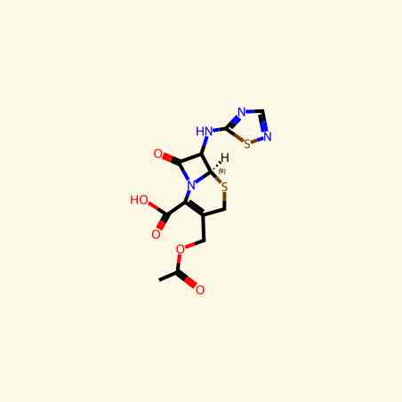 CC(=O)OCC1=C(C(=O)O)N2C(=O)C(Nc3ncns3)[C@H]2SC1